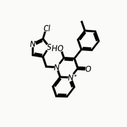 Cc1cccc(-c2c(O)n(Cc3cnc(Cl)s3)c3cccc[n+]3c2=O)c1